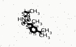 Cc1csc(NS(=O)(=O)c2sc3ccc(C(C)C)cc3c2C)n1